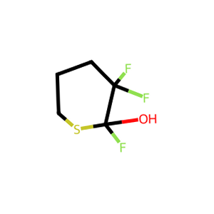 OC1(F)SCCCC1(F)F